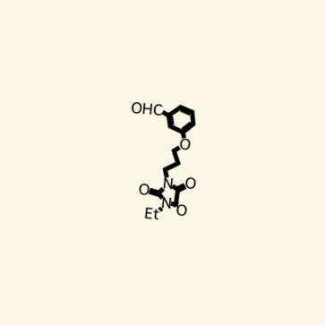 CCN1C(=O)C(=O)N(CCCOc2cccc(C=O)c2)C1=O